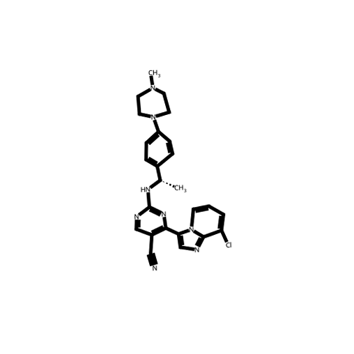 C[C@H](Nc1ncc(C#N)c(-c2cnc3c(Cl)cccn23)n1)c1ccc(N2CCN(C)CC2)cc1